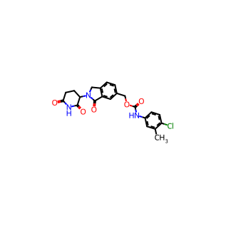 Cc1cc(NC(=O)OCc2ccc3c(c2)C(=O)N(C2CCC(=O)NC2=O)C3)ccc1Cl